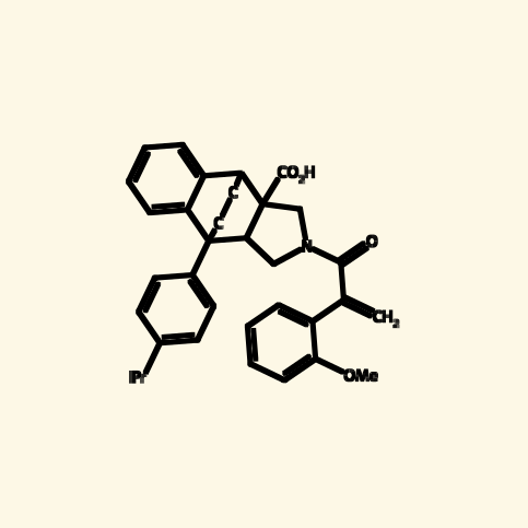 C=C(C(=O)N1CC2C3(c4ccc(C(C)C)cc4)CCC(c4ccccc43)C2(C(=O)O)C1)c1ccccc1OC